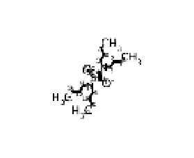 CCCCN(CCCC)c1c([O-])[c+](N(CCCC)CCCC)[c+]1[O-]